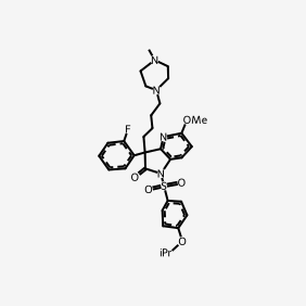 COc1ccc2c(n1)C(CCCCN1CCN(C)CC1)(c1ccccc1F)C(=O)N2S(=O)(=O)c1ccc(OC(C)C)cc1